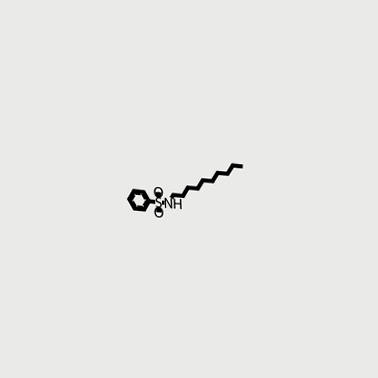 CCCCCCCCCCNS(=O)(=O)c1ccccc1